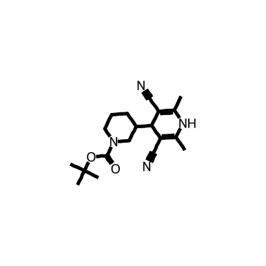 CC1=C(C#N)C(C2CCCN(C(=O)OC(C)(C)C)C2)C(C#N)=C(C)N1